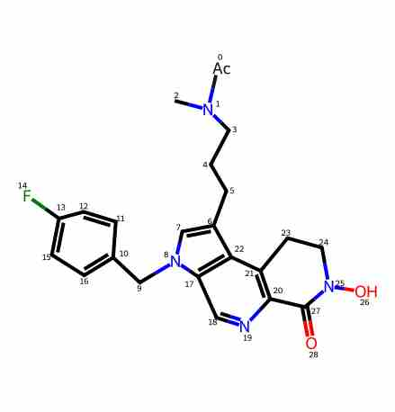 CC(=O)N(C)CCCc1cn(Cc2ccc(F)cc2)c2cnc3c(c12)CCN(O)C3=O